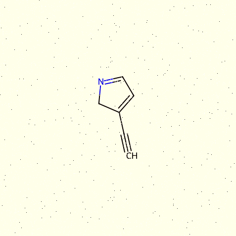 C#CC1=CC=NC1